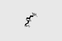 NCCc1csc(CCN)n1